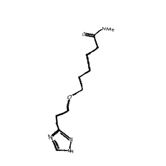 CNC(=O)CCCCCOCCc1nc[nH]n1